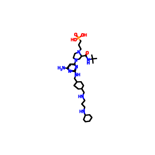 CC(C)(C)NC(=O)C1CN(c2cc(N)nc(NCC3CCC(CNCCCNC4CCCCC4)CC3)n2)CCN1CCCP(=O)(O)O